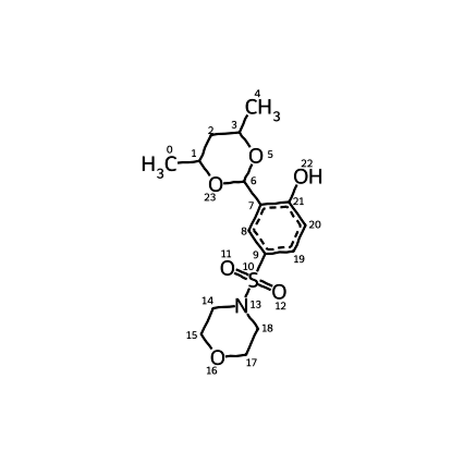 CC1CC(C)OC(c2cc(S(=O)(=O)N3CCOCC3)ccc2O)O1